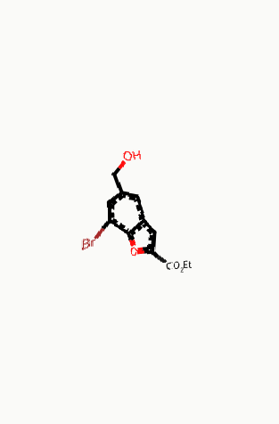 CCOC(=O)c1cc2cc(CO)cc(Br)c2o1